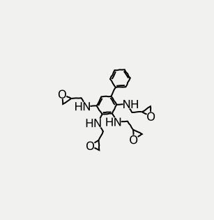 c1ccc(-c2cc(NCC3CO3)c(NCC3CO3)c(NCC3CO3)c2NCC2CO2)cc1